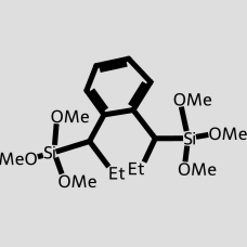 CCC(c1ccccc1C(CC)[Si](OC)(OC)OC)[Si](OC)(OC)OC